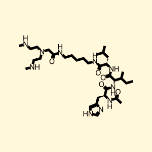 CCC(C)[C@H](NC(=O)[C@H](Cc1c[nH]cn1)NC(C)=O)C(=O)N[C@@H](CC(C)C)C(=O)NCCCCCNC(=O)CN(CCNC)CCNC